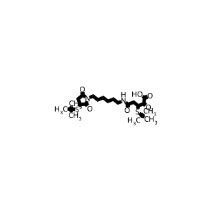 CC(C)(C)SC(CC(=O)NCCCCCCN1C(=O)CC(SC(C)(C)C)C1=O)C(=O)C(=O)O